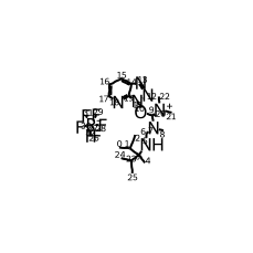 CC(C)C(C)(NCN(C)C(On1nnc2cccnc21)=[N+](C)C)C(C)C.F[P-](F)(F)(F)(F)F